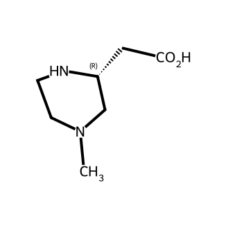 CN1CCN[C@H](CC(=O)O)C1